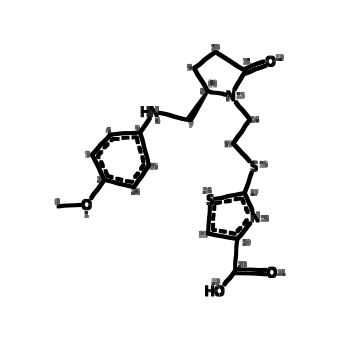 COc1ccc(NC[C@H]2CCC(=O)N2CCSc2nc(C(=O)O)cs2)cc1